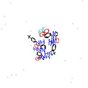 CC1(C)CNCc2cc(NC(=O)c3cccnc3Nc3ccc4c(c3)OC(F)(F)O4)ccc21.Cn1[nH]c2cc(Nc3ncccc3C(=O)Nc3ccc(C(C)(C)C)cc3)ccc2c1=O